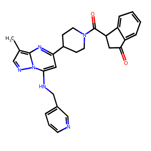 Cc1cnn2c(NCc3cccnc3)cc(C3CCN(C(=O)C4CC(=O)c5ccccc54)CC3)nc12